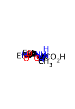 CCN(CC)C(=O)c1cc2cc(NC(=O)c3cc(NC(=O)O)cn3C)ccc2o1